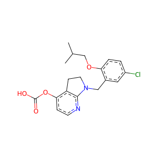 CC(C)COc1ccc(Cl)cc1CN1CCc2c(OC(=O)O)ccnc21